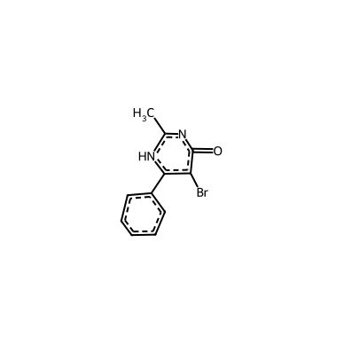 Cc1nc(=O)c(Br)c(-c2ccccc2)[nH]1